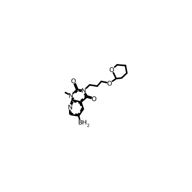 Bc1cnc2c(c1)c(=O)n(CCCOC1CCCCO1)c(=O)n2C